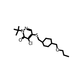 CCCOCC1CCC(CSc2cnn(C(C)(C)C)c(=O)c2Cl)CC1